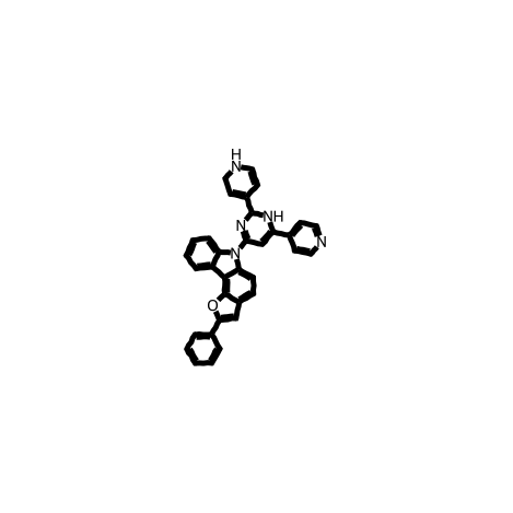 C1=CC(C2N=C(n3c4ccccc4c4c5oc(-c6ccccc6)cc5ccc43)C=C(c3ccncc3)N2)=CCN1